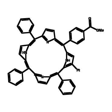 COC(=O)c1ccc(-c2c3nc(c(-c4ccccc4)c4ccc([nH]4)c(-c4ccccc4)c4nc(c(-c5ccccc5)c5[nH]c2c[c]5[Pt])C=C4)C=C3)cc1